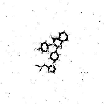 CN(C)Cc1nccn1-c1ccc(-c2nc3ccccc3c(=O)n2-c2ccc(Cl)cn2)cc1